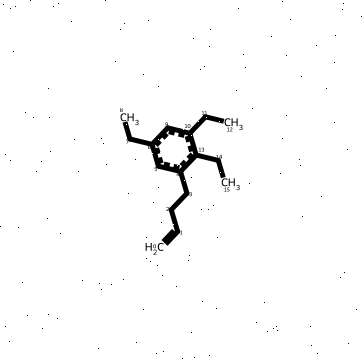 C=CCCc1cc(CC)cc(CC)c1CC